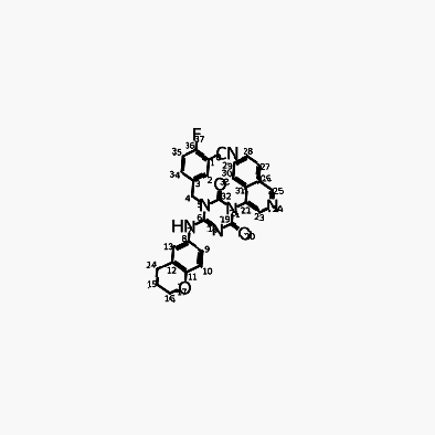 N#Cc1cc(Cn2c(Nc3ccc4c(c3)CCCO4)nc(=O)n(-c3cncc4ccccc34)c2=O)ccc1F